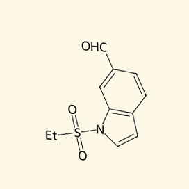 CCS(=O)(=O)n1ccc2ccc(C=O)cc21